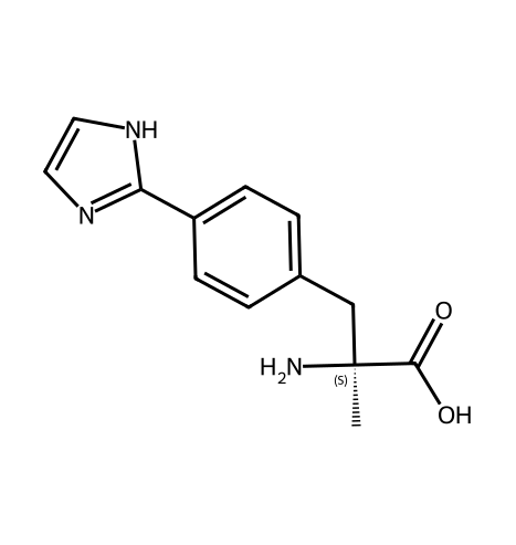 C[C@](N)(Cc1ccc(-c2ncc[nH]2)cc1)C(=O)O